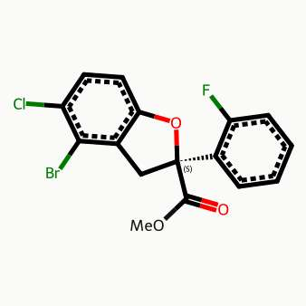 COC(=O)[C@@]1(c2ccccc2F)Cc2c(ccc(Cl)c2Br)O1